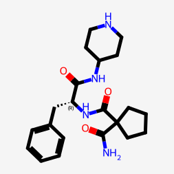 NC(=O)C1(C(=O)N[C@H](Cc2ccccc2)C(=O)NC2CCNCC2)CCCC1